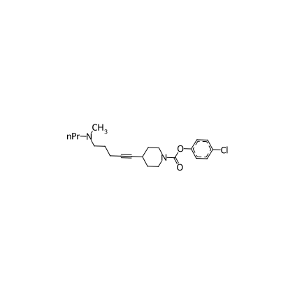 CCCN(C)CCCC#CC1CCN(C(=O)Oc2ccc(Cl)cc2)CC1